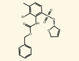 CCc1c(C)ccc(S(=O)(=O)O[C@H]2C=CCO2)c1NC(=O)OCc1ccccc1